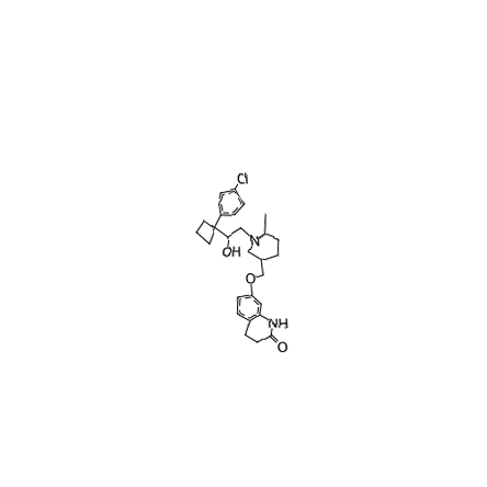 CC1CCC(COc2ccc3c(c2)NC(=O)CC3)CN1CC(O)C1(c2ccc(Cl)cc2)CCC1